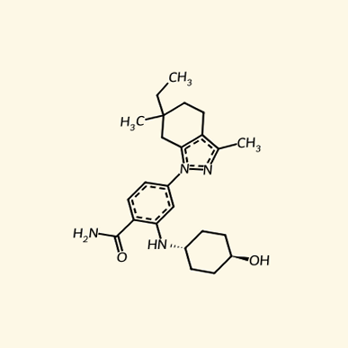 CCC1(C)CCc2c(C)nn(-c3ccc(C(N)=O)c(N[C@H]4CC[C@H](O)CC4)c3)c2C1